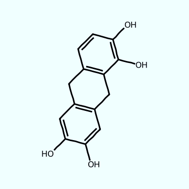 Oc1cc2c(cc1O)Cc1c(ccc(O)c1O)C2